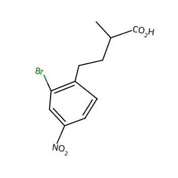 CC(CCc1ccc([N+](=O)[O-])cc1Br)C(=O)O